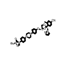 CC[C@H](C)n1ncn(-c2ccc(N3CCN(c4ccc(OC[C@@H]5CO[C@@](Cn6cccn6)(c6ccc(C#N)cc6C)O5)cc4)CC3)cc2)c1=O